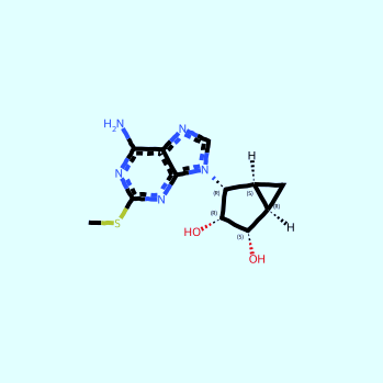 CSc1nc(N)c2ncn([C@H]3[C@@H](O)[C@@H](O)[C@@H]4C[C@@H]43)c2n1